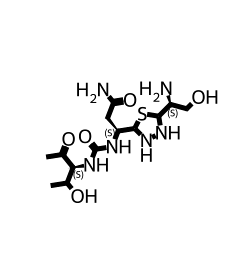 CC(=O)[C@@H](NC(=O)N[C@@H](CC(N)=O)C1NNC([C@@H](N)CO)S1)C(C)O